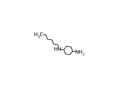 CCCCCCNC1CCC(N)CC1